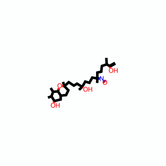 C=C(O)C(C)CCCC(C)(CCCC(C)(O)CCCC1(C)CCC2CC(O)C(C)C(C)C2O1)N=O